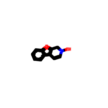 ON1C=Cc2c(oc3ccccc23)C1